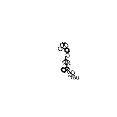 CC(C)(C)OC(=O)n1cc(-c2ncc(COc3ccc4c(c3)C(=O)OC(C)(C)O4)cn2)c2ccccc21